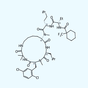 CC[C@H](NC(=O)C1(C(F)(F)F)CCCCC1)C(=O)N[C@@H](CCC(C)C)C(=O)N(C)[C@H]1CCCCNC(=O)C(C)(C)NC(=O)[C@H](Cc2cc(Cl)ccc2Cl)N(C)C(=O)[C@H](CC(C)C)NC1=O